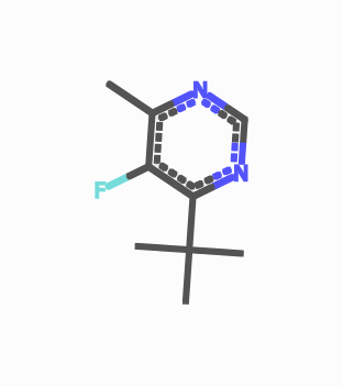 Cc1ncnc(C(C)(C)C)c1F